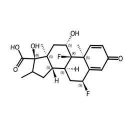 CC1C[C@H]2[C@@H]3C[C@H](F)C4=CC(=O)C=C[C@]4(C)[C@@]3(F)[C@@H](O)C[C@]2(C)[C@@]1(O)C(=O)O